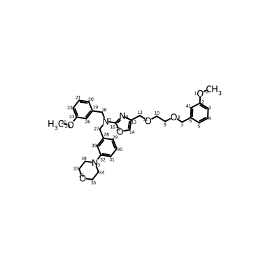 COc1cccc(COCCOCc2coc(N(Cc3cccc(OC)c3)Cc3cccc(N4CCOCC4)c3)n2)c1